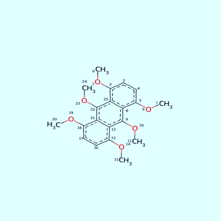 COc1ccc(OC)c2c(OC)c3c(OC)ccc(OC)c3c(OC)c12